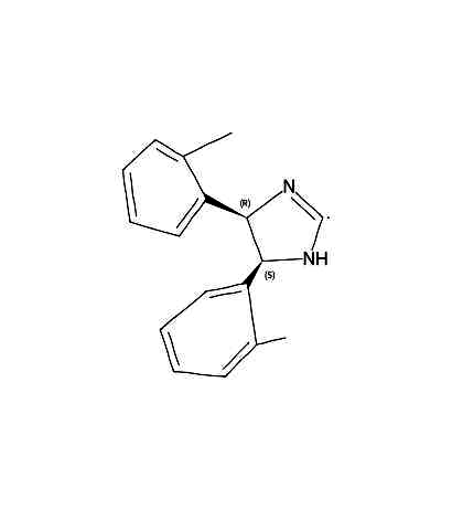 Cc1ccccc1[C@H]1N=[C]N[C@H]1c1ccccc1C